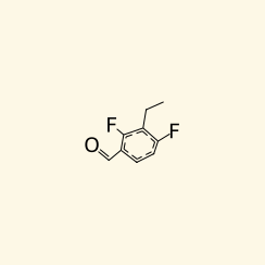 CCc1c(F)ccc(C=O)c1F